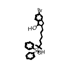 CC(C)(CCCCCC1Cc2cc(Br)ccc2C1O)[Si](O)(c1ccccc1)c1ccccc1